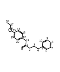 C=C(CCCc1ccccc1)Cc1ccc(OCC)cc1